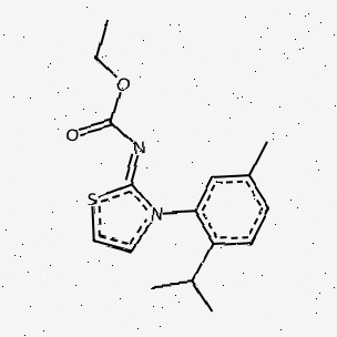 CCOC(=O)/N=c1\sccn1-c1cc(C)ccc1C(C)C